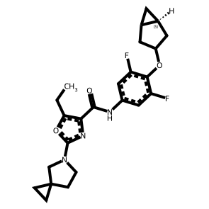 CCc1oc(N2CCC3(CC3)C2)nc1C(=O)Nc1cc(F)c(OC2CC3C[C@H]3C2)c(F)c1